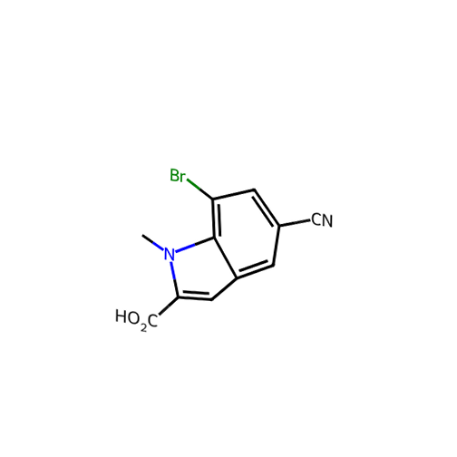 Cn1c(C(=O)O)cc2cc(C#N)cc(Br)c21